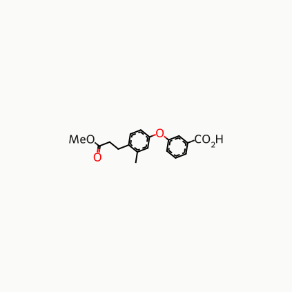 COC(=O)CCc1ccc(Oc2cccc(C(=O)O)c2)cc1C